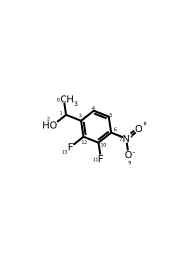 CC(O)c1ccc([N+](=O)[O-])c(F)c1F